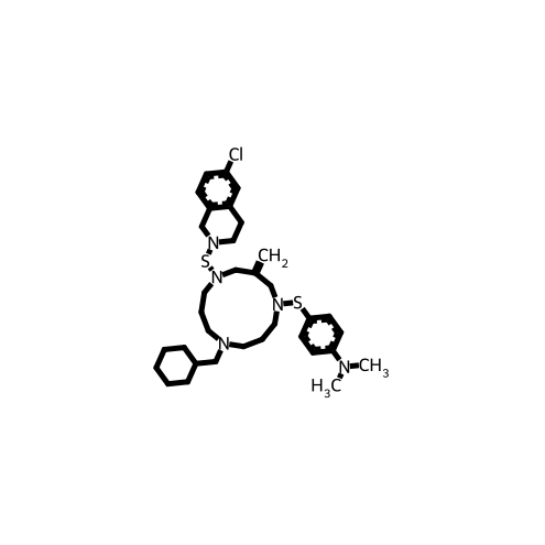 C=C1CN(Sc2ccc(N(C)C)cc2)CCCN(CC2CCCCC2)CCCN(SN2CCc3cc(Cl)ccc3C2)C1